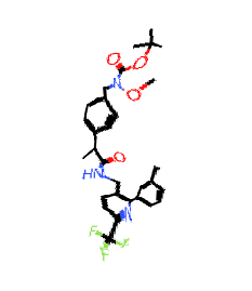 CON(Cc1ccc(C(C)C(=O)NCc2ccc(C(F)(F)F)nc2-c2cccc(C)c2)cc1)C(=O)OC(C)(C)C